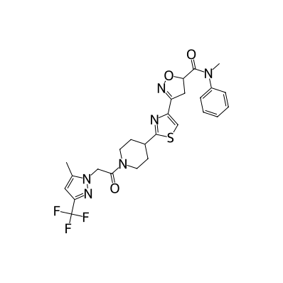 Cc1cc(C(F)(F)F)nn1CC(=O)N1CCC(c2nc(C3=NOC(C(=O)N(C)c4ccccc4)C3)cs2)CC1